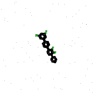 Fc1cc(F)cc(-c2ccc(-c3ccc(-c4ccccc4)c(F)c3F)cc2)c1